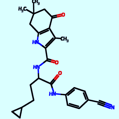 Cc1c(C(=O)NC(CCC2CC2)C(=O)Nc2ccc(C#N)cc2)[nH]c2c1C(=O)CC(C)(C)C2